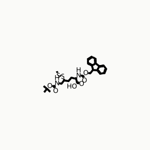 CSSC(CCC(NC(=O)OCC1c2ccccc2-c2ccccc21)C(=O)O)CNC(=O)OC(C)(C)C